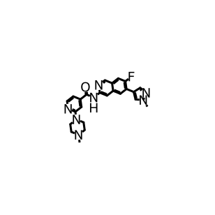 CN1CCN(c2cc(C(=O)Nc3cc4cc(-c5cnn(C)c5)c(F)cc4cn3)ccn2)CC1